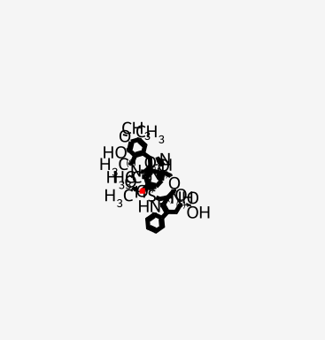 COc1c(C)cc2c(c1O)[C@H](C)N(C)C[C@](C#N)(N1C[C@@H]3SC[C@]4(N[C@H](C(=O)O)Cc5c4[nH]c4ccccc54)C(=O)OC[C@H]1c1c4c(c(C)c(OC(C)=O)c13)OCO4)C2